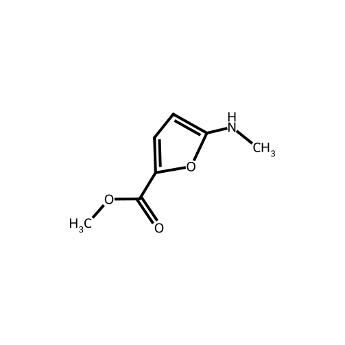 CNc1ccc(C(=O)OC)o1